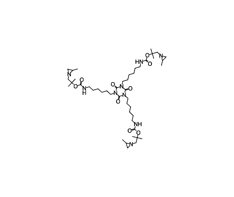 CC1CN1CC(C)(C)OC(=O)NCCCCCCn1c(=O)n(CCCCCCNC(=O)OC(C)(C)CN2CC2C)c(=O)n(CCCCCCNC(=O)OC(C)(C)CN2CC2C)c1=O